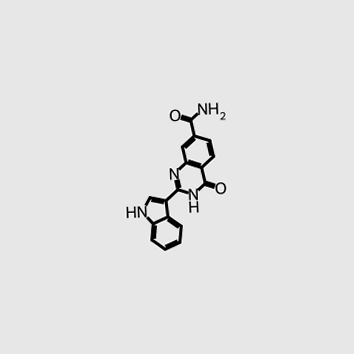 NC(=O)c1ccc2c(=O)[nH]c(-c3c[nH]c4ccccc34)nc2c1